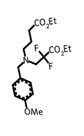 CCOC(=O)CCCN(Cc1ccc(OC)cc1)CC(F)(F)C(=O)OCC